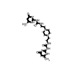 Cc1cc(=O)nc(NC(=O)NCCN2CCN(CCNC(=O)Nc3nc(=O)cc(C)[nH]3)CC2)[nH]1